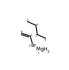 C=CBr.CCCC.[MgH2]